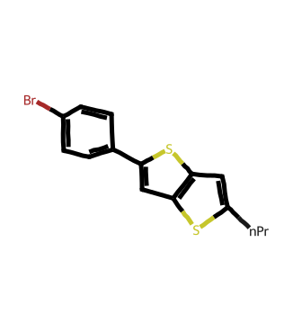 CCCc1cc2sc(-c3ccc(Br)cc3)cc2s1